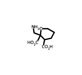 NCC1(C(=O)O)OCCCC1C(=O)O